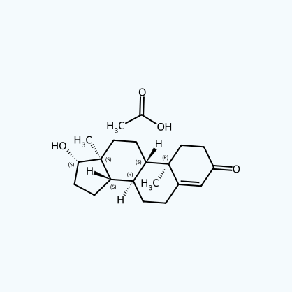 CC(=O)O.C[C@]12CC[C@H]3[C@@H](CCC4=CC(=O)CC[C@@]43C)[C@@H]1CC[C@@H]2O